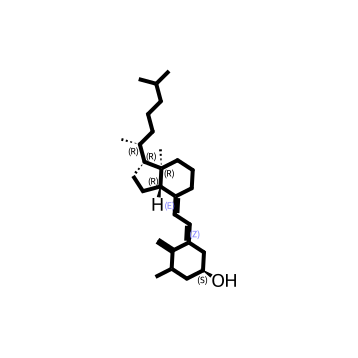 C=C1/C(=C\C=C2/CCC[C@]3(C)[C@@H]([C@H](C)CCCC(C)C)CC[C@@H]23)C[C@@H](O)CC1C